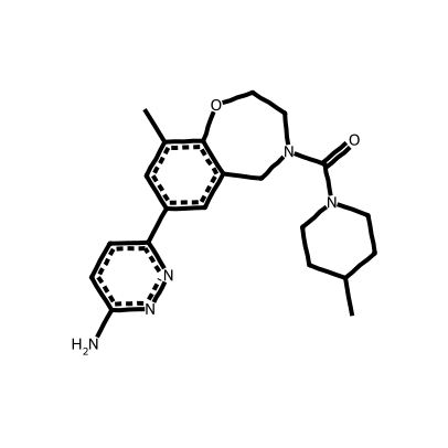 Cc1cc(-c2ccc(N)nn2)cc2c1OCCN(C(=O)N1CCC(C)CC1)C2